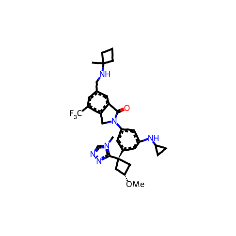 CO[C@H]1C[C@@](c2cc(NC3CC3)cc(N3Cc4c(cc(CNC5(C)CCC5)cc4C(F)(F)F)C3=O)c2)(c2nncn2C)C1